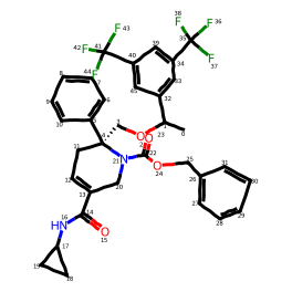 CC(OC[C@@]1(c2ccccc2)CC=C(C(=O)NC2CC2)CN1C(=O)OCc1ccccc1)c1cc(C(F)(F)F)cc(C(F)(F)F)c1